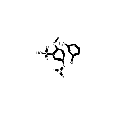 COc1ccc(N=S(=O)=O)cc1S(=O)(=O)O.Nc1cccc(Cl)c1